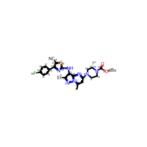 CCc1nn2c(C)cc(N3CCN(C(=O)OC(C)(C)C)[C@@H](C)C3)nc2c1Nc1nc(-c2ccc(F)cc2)c(C#N)s1